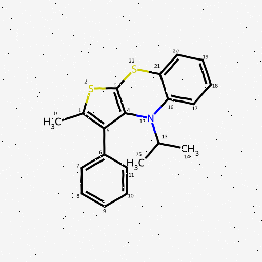 Cc1sc2c(c1-c1ccccc1)N(C(C)C)c1ccccc1S2